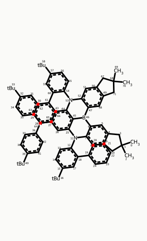 CC1(C)Cc2cc3c(cc2C1)N(c1ccc(C(C)(C)C)cc1-c1ccccc1)c1cc(N(c2ccc(C(C)(C)C)cc2)c2ccc(C(C)(C)C)cc2)cc2c1B3c1cc3c(cc1N2c1ccc(C(C)(C)C)cc1-c1ccccc1)CC(C)(C)C3